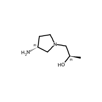 C[C@@H](O)CN1CC[C@@H](N)C1